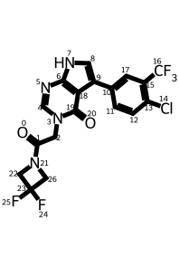 O=C(Cn1cnc2[nH]cc(-c3ccc(Cl)c(C(F)(F)F)c3)c2c1=O)N1CC(F)(F)C1